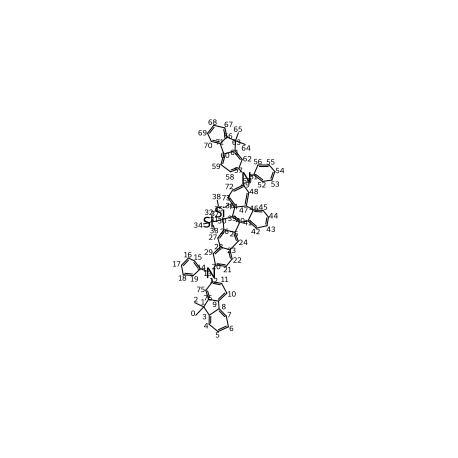 CC1(C)c2ccccc2-c2ccc(N(c3ccccc3)c3ccc4cc5c(cc4c3)C([Si](C)(C)C)([Si](C)(C)C)c3c-5c4ccccc4c4cc(N(c5ccccc5)c5ccc6c(c5)C(C)(C)c5ccccc5-6)ccc34)cc21